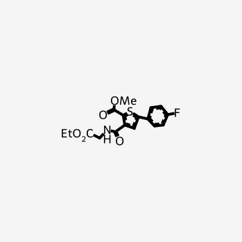 CCOC(=O)CNC(=O)c1cc(-c2ccc(F)cc2)sc1C(=O)OC